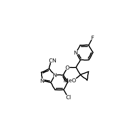 COC1(C(Oc2cc(Cl)cc3ncc(C#N)n23)c2ccc(F)cn2)CC1